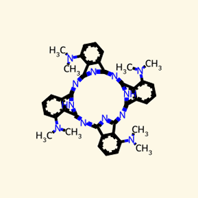 CN(C)c1cccc2c1-c1nc-2nc2[nH]c(nc3nc(nc4[nH]c(n1)c1cccc(N(C)C)c41)-c1cccc(N(C)C)c1-3)c1cccc(N(C)C)c21